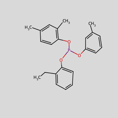 CCc1ccccc1OP(Oc1cccc(C)c1)Oc1ccc(C)cc1C